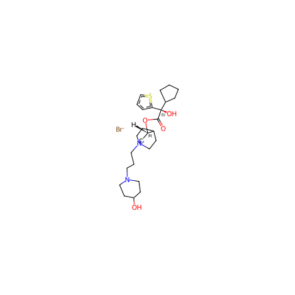 O=C(O[C@H]1C[N+]2(CCCN3CCC(O)CC3)CCC1CC2)[C@](O)(c1cccs1)C1CCCC1.[Br-]